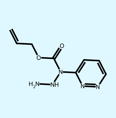 C=CCOC(=O)N(NN)c1cccnn1